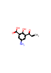 C=CC(=O)c1cc(N)cc(C(=O)O)c1O